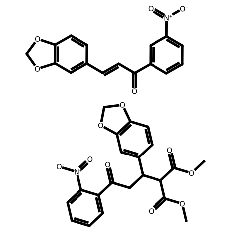 COC(=O)C(C(=O)OC)C(CC(=O)c1ccccc1[N+](=O)[O-])c1ccc2c(c1)OCO2.O=C(/C=C/c1ccc2c(c1)OCO2)c1cccc([N+](=O)[O-])c1